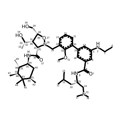 CCNc1cc(C(=O)N[C@@H](CC(C)C)CN(C)C)cc(-c2cccc(CN3O[C@@H](CO)[C@@H]([C@H](C)O)[C@H]3C(=O)N[C@H]3C[C@@H](C)C(C)(C)[C@@H](C)[C@@H]3C)c2OC)c1